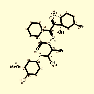 CC[C@@H]1CC[C@@H](C)[C@](O)(C(=O)C(=O)N2CCCC[C@H]2C(=O)OC(C(C)C)C(C)C[C@@H]2CC[C@@H](O)[C@H](OC)C2)C1